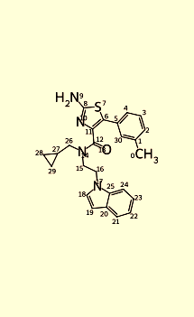 Cc1cccc(-c2sc(N)nc2C(=O)N(CCn2ccc3ccccc32)CC2CC2)c1